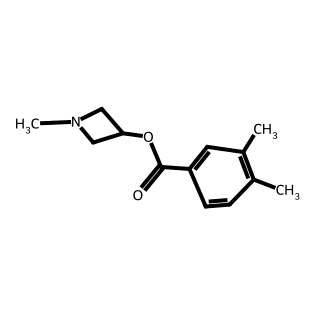 Cc1ccc(C(=O)OC2CN(C)C2)cc1C